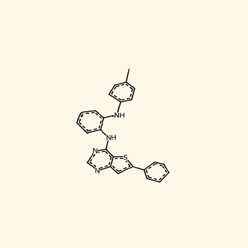 Cc1ccc(Nc2ccccc2Nc2ncnc3cc(-c4ccccc4)sc23)cc1